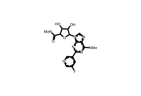 CNC(=O)C1OC(n2cnc3c(NC)nc(-c4cncc(F)c4)nc32)C(O)C1O